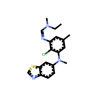 CCN(C)/C=N\c1cc(C)cc(N(C)c2ccc3ncsc3c2)c1Cl